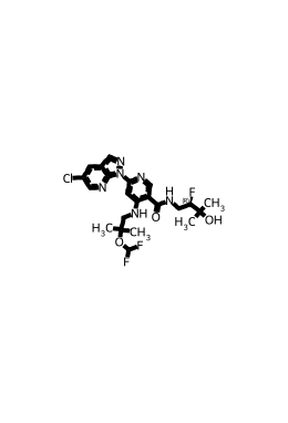 CC(C)(CNc1cc(-n2ncc3cc(Cl)cnc32)ncc1C(=O)NC[C@@H](F)C(C)(C)O)OC(F)F